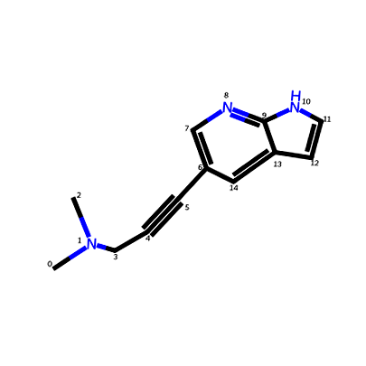 CN(C)CC#Cc1cnc2[nH]ccc2c1